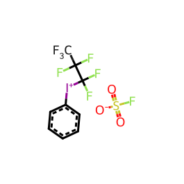 FC(F)(F)C(F)(F)C(F)(F)[I+]c1ccccc1.O=S(=O)([O-])F